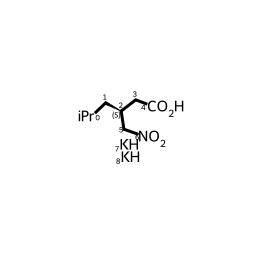 CC(C)C[C@@H](CC(=O)O)C[N+](=O)[O-].[KH].[KH]